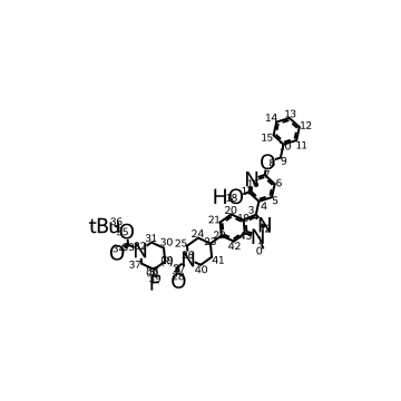 Cn1nc(-c2ccc(OCc3ccccc3)nc2O)c2ccc(C3CCN(C(=O)[C@H]4CCN(C(=O)OC(C)(C)C)C[C@H]4F)CC3)cc21